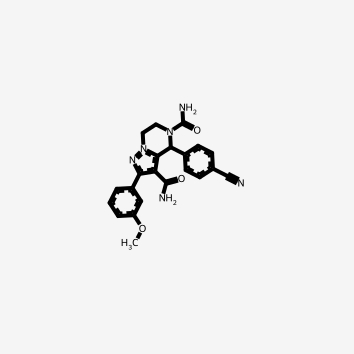 COc1cccc(-c2nn3c(c2C(N)=O)C(c2ccc(C#N)cc2)N(C(N)=O)CC3)c1